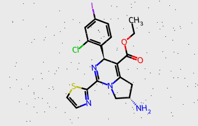 CCOC(=O)C1=C2C[C@H](N)CN2C(c2nccs2)=N[C@H]1c1ccc(I)cc1Cl